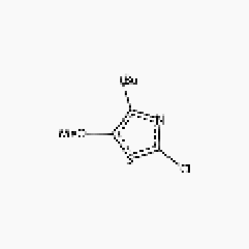 COc1sc(Cl)nc1C(C)(C)C